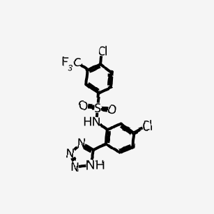 O=S(=O)(Nc1cc(Cl)ccc1-c1nnn[nH]1)c1ccc(Cl)c(C(F)(F)F)c1